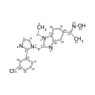 CCn1c(Cn2ccnc2-c2cccc(Cl)c2)nc2cc(C(C)=NO)ccc21